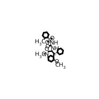 COc1ccc2cc1[C@@H](c1ccccc1)C(NC(=O)NS(=O)(=O)c1ccccc1C)C(=O)N2C